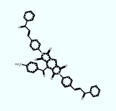 O=C(O)c1ccc(C(=O)c2c3c(=O)n(-c4ccc(/C=C/C(=O)c5ccccc5)cc4)c(=O)c3cc3c(=O)n(-c4ccc(/C=C/C(=O)c5ccccc5)cc4)c(=O)c23)cc1